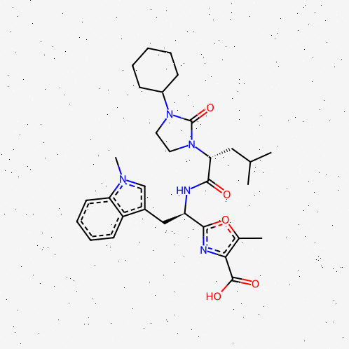 Cc1oc([C@@H](Cc2cn(C)c3ccccc23)NC(=O)[C@@H](CC(C)C)N2CCN(C3CCCCC3)C2=O)nc1C(=O)O